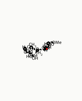 C=C1C[C@H](CC[C@@]23C[C@H]4[C@H]5O[C@@H](CC(=O)OC)CC[C@@H]5O[C@H]5[C@@H](O2)[C@@H](C3)O[C@@H]45)O[C@H]1CC[C@H]1C[C@@H](C)C(=C)[C@@H](C[C@@H]2O[C@H](C[C@H](O)CO)[C@H](OC)[C@H]2CS(=O)(=O)c2ccccc2)O1